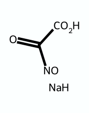 O=NC(=O)C(=O)O.[NaH]